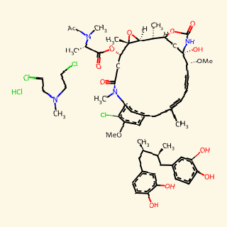 CN(CCCl)CCCl.COc1cc2cc(c1Cl)N(C)C(=O)C[C@H](OC(=O)[C@H](C)N(C)C(C)=O)[C@]1(C)O[C@H]1[C@H](C)[C@@H]1C[C@@](O)(NC(=O)O1)[C@H](OC)/C=C\C=C(\C)C2.C[C@H](Cc1ccc(O)c(O)c1)[C@@H](C)Cc1ccc(O)c(O)c1.Cl